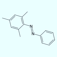 Cc1cc(C)c(N=Nc2ccccc2)c(C)c1